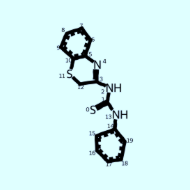 S=C(NC1=Nc2ccccc2SC1)Nc1ccccc1